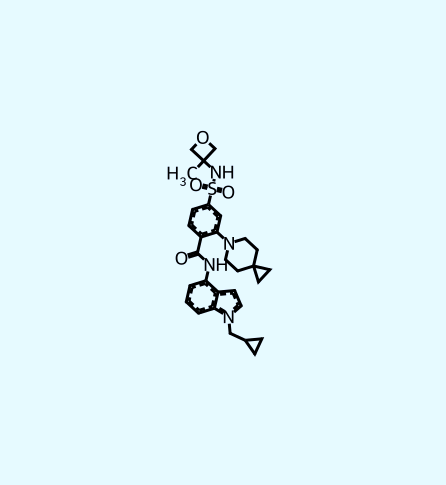 CC1(NS(=O)(=O)c2ccc(C(=O)Nc3cccc4c3ccn4CC3CC3)c(N3CCC4(CC3)CC4)c2)COC1